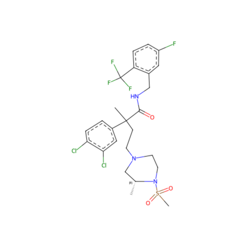 C[C@@H]1CN(CCC(C)(C(=O)NCc2cc(F)ccc2C(F)(F)F)c2ccc(Cl)c(Cl)c2)CCN1S(C)(=O)=O